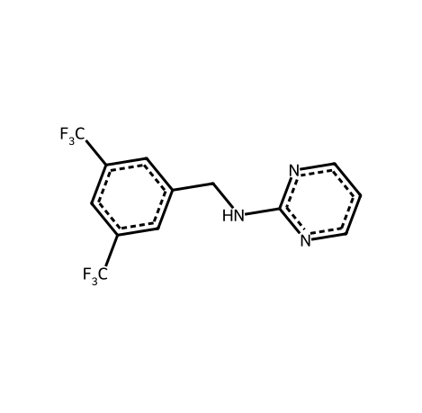 FC(F)(F)c1cc(CNc2ncccn2)cc(C(F)(F)F)c1